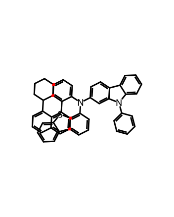 c1ccc(-n2c3ccccc3c3ccc(N(c4ccccc4-c4cccc5cccc(C6CCCCC6)c45)c4cccc5c4sc4ccccc45)cc32)cc1